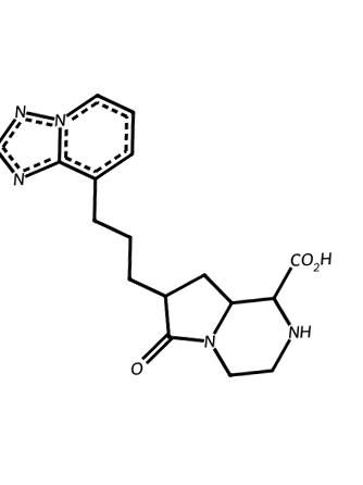 O=C(O)C1NCCN2C(=O)C(CCCc3cccn4ncnc34)CC12